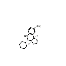 O=Cc1ccc2c(c1)[C@H]1OCC[C@H]1[C@H](C1CCCCC1)N2